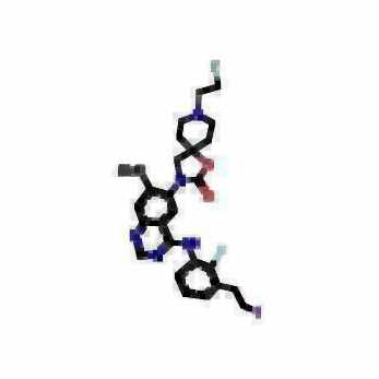 COc1cc2ncnc(Nc3cccc(CCI)c3F)c2cc1N1CC2(CCN(CCF)CC2)OC1=O